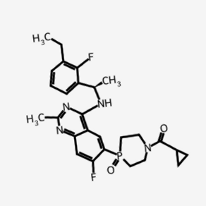 CCc1cccc([C@@H](C)Nc2nc(C)nc3cc(F)c(P4(=O)CCN(C(=O)C5CC5)CC4)cc23)c1F